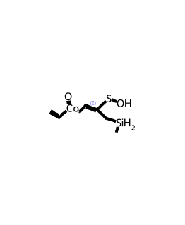 C=[CH][Co](=[O])[CH2]/C=C(\C[SiH2]C)SO